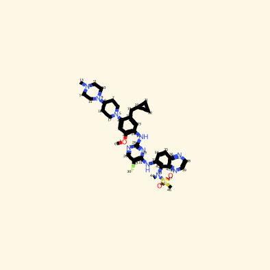 COc1cc(N2CCC(N3CCN(C)CC3)CC2)c(CC2CC2)cc1Nc1ncc(F)c(Nc2ccc3nccnc3c2N(C)S(C)(=O)=O)n1